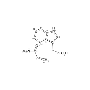 C=CC(=O)NC.O=C(O)Cc1c[nH]c2ccccc12